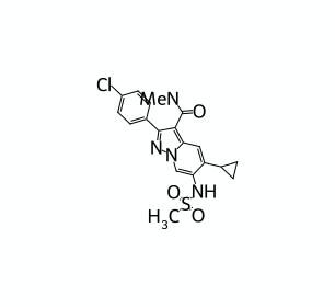 CNC(=O)c1c(-c2ccc(Cl)cc2)nn2cc(NS(C)(=O)=O)c(C3CC3)cc12